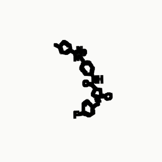 Cc1ccc(-c2noc(-c3ccc(NC(=O)C4CC(=O)N(Cc5ccc(F)cc5)C4)cc3)n2)cc1